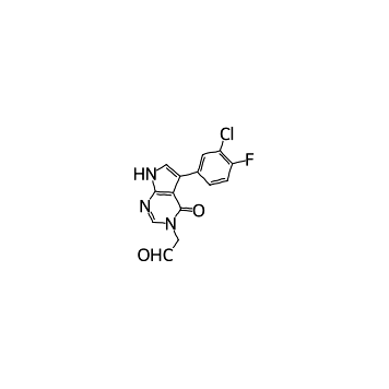 O=CCn1cnc2[nH]cc(-c3ccc(F)c(Cl)c3)c2c1=O